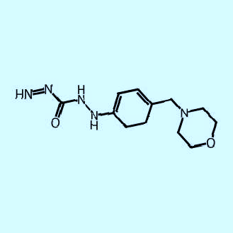 N=NC(=O)NNC1=CC=C(CN2CCOCC2)CC1